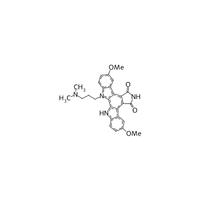 COc1ccc2[nH]c3c(c4c(c5c6cc(OC)ccc6n(CCCN(C)C)c35)C(=O)NC4=O)c2c1